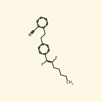 CCCCC/C(F)=C(\F)c1ccc(CCc2ccccc2C#N)cc1